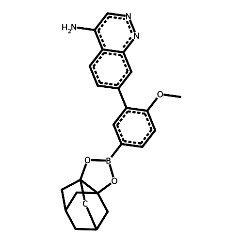 COc1ccc(B2OC34CC5CC(C3)CC4(C5)O2)cc1-c1ccc2c(N)cnnc2c1